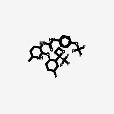 CC1CCC(NC(=O)Nc2ccc(OC(F)(F)F)cc2)C(O[C@@H]2CCC(F)CC2[C@@]2(C(F)(F)F)CCO2)N1